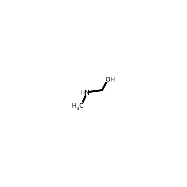 CN[CH]O